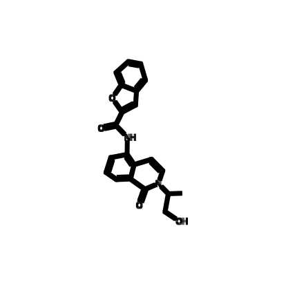 CC(CO)n1ccc2c(NC(=O)c3cc4ccccc4o3)cccc2c1=O